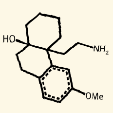 COc1ccc2c(c1)C1(CCN)CCCCC1(O)CC2